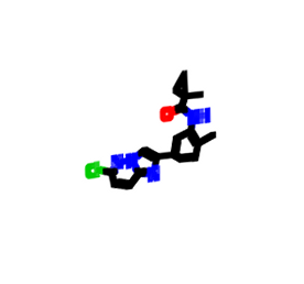 Cc1ccc(-c2cn3nc(Cl)ccc3n2)cc1NC(=O)C1(C)CC1